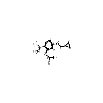 C[C@H](N)c1c[c]c(OCC2CC2)cc1OC(F)F